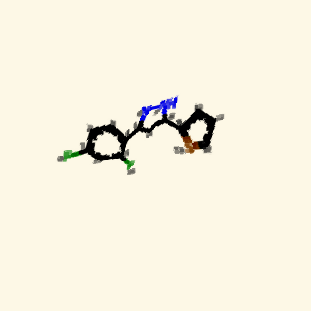 Fc1ccc(C2=NNC(c3cccs3)C2)c(F)c1